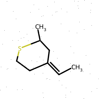 C/C=C1/CCSC(C)C1